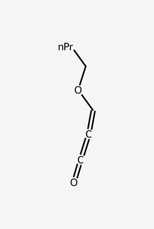 CCCCOC=C=C=O